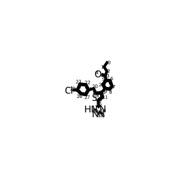 CCCC(=O)c1cccc(-c2cc(-c3nnn[nH]3)sc2Cc2ccc(Cl)cc2)c1